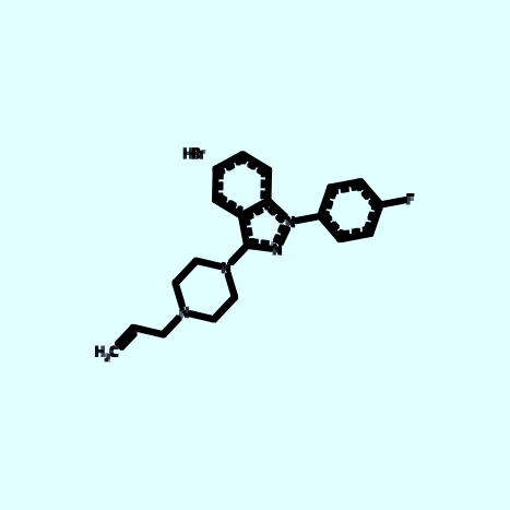 Br.C=CCN1CCN(c2nn(-c3ccc(F)cc3)c3ccccc23)CC1